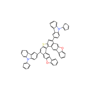 c1ccc(-n2c3ccccc3c3cc(-c4cc5sc6cc(-c7ccc8c(c7)c7ccccc7n8-c7ccccc7)c7cc8oc9ccccc9c8cc7c6c5c5cc6c(cc45)oc4ccccc46)ccc32)cc1